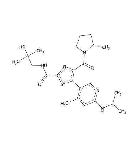 Cc1cc(NC(C)C)ncc1-c1sc(C(=O)NCC(C)(C)O)nc1C(=O)N1CCC[C@@H]1C